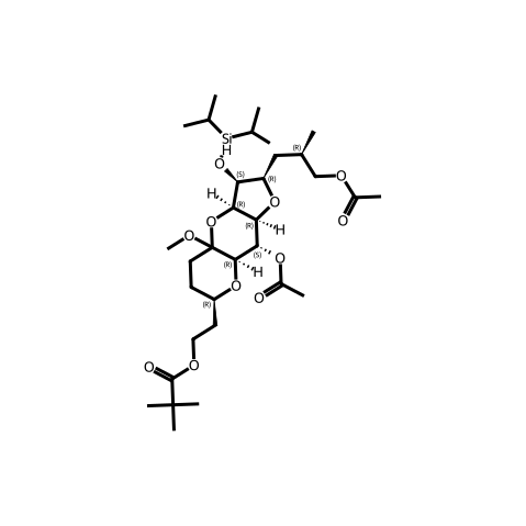 COC12CC[C@H](CCOC(=O)C(C)(C)C)O[C@@H]1[C@@H](OC(C)=O)[C@@H]1O[C@H](C[C@@H](C)COC(C)=O)[C@H](O[SiH](C(C)C)C(C)C)[C@@H]1O2